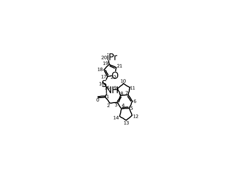 C=C(Cc1c2c(cc3c1CCC3)CCC2)NSc1cc(C(C)C)co1